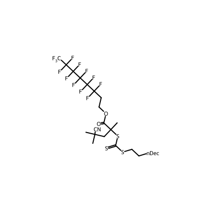 CCCCCCCCCCCCSC(=S)SC(C)(CC(C)(C)C#N)C(=O)OCCC(F)(F)C(F)(F)C(F)(F)C(F)(F)C(F)(F)C(F)(F)F